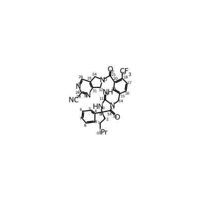 CC(C)CC[C@@]1(c2ccccc2)NC(=N)N(Cc2ccc(C(F)(F)F)c(C(=O)N3Cc4cnc(C#N)nc4C3)c2)C1=O